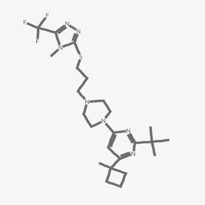 Cn1c(SCCCN2CCN(c3cc(C4(C)CCC4)nc(C(C)(C)C)n3)CC2)nnc1C(F)(F)F